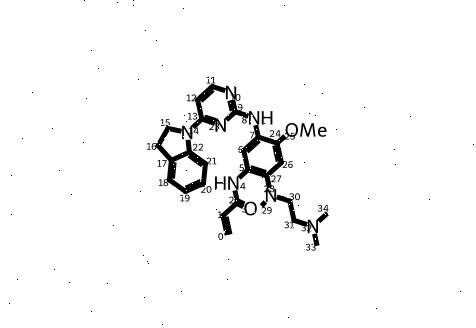 C=CC(=O)Nc1cc(Nc2nccc(N3CCc4ccccc43)n2)c(OC)cc1N(C)CCN(C)C